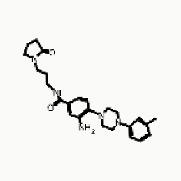 Cc1cccc(N2CCN(c3ccc(C(=O)NCCCN4CCCC4=O)cc3N)CC2)c1